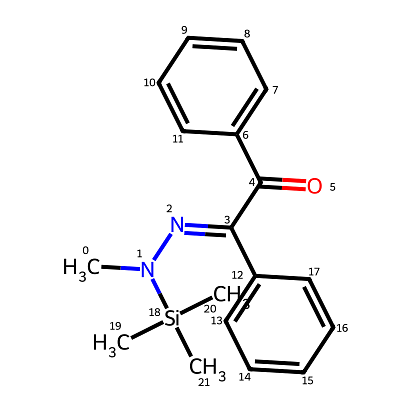 CN(N=C(C(=O)c1ccccc1)c1ccccc1)[Si](C)(C)C